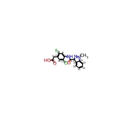 Cn1nc(C(=O)Nc2cc(F)c(CC(=O)O)cc2Cl)c2ccccc21